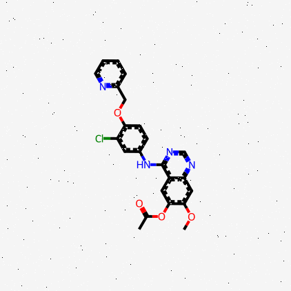 COc1cc2ncnc(Nc3ccc(OCc4ccccn4)c(Cl)c3)c2cc1OC(C)=O